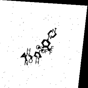 CN1CCN(c2ccc(S(=O)(=O)[C@H]3CN[C@H](C(=O)NC4(C#N)CC4)C3)c(C(F)(F)F)c2)CC1